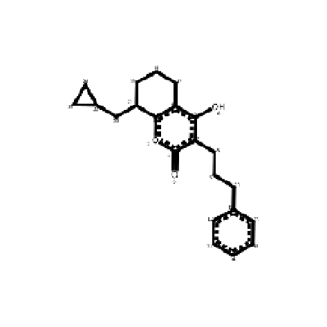 O=c1oc2c(c(O)c1CCCc1ccccc1)CCCC2CC1CC1